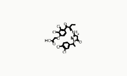 C=C(CC)C(=O)c1ccc(OCC(=O)O)c(Cl)c1Cl.CC(c1ccc(Cl)c(Cl)c1)N1N=C(N)CC1=O